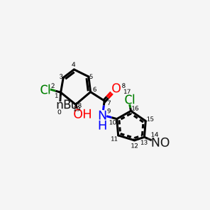 CCCCC1(Cl)C=CC=C(C(=O)Nc2ccc(N=O)cc2Cl)C1O